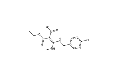 CCOC(=O)C(=C(NC)NCc1ccc(Cl)nc1)[N+](=O)[O-]